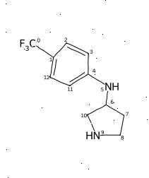 FC(F)(F)c1ccc(NC2CCNC2)cc1